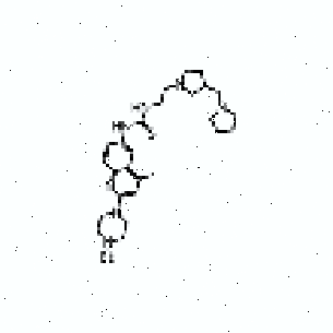 CCN1CCN(c2cc(C)c3cc(NC(=S)NCCN4CCC(CN5CCCC5)C4)ccc3n2)CC1